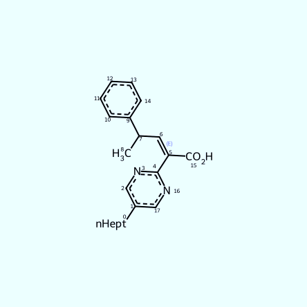 CCCCCCCc1cnc(/C(=C\C(C)c2ccccc2)C(=O)O)nc1